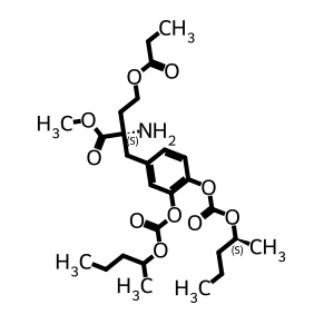 CCCC(C)OC(=O)Oc1cc(C[C@](N)(CCOC(=O)CC)C(=O)OC)ccc1OC(=O)O[C@@H](C)CCC